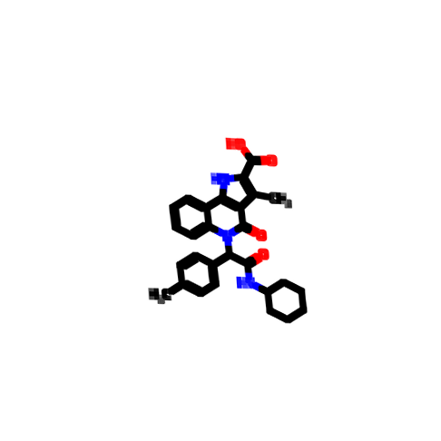 Cc1ccc(C(C(=O)NC2CCCCC2)n2c(=O)c3c(C)c(C(=O)O)[nH]c3c3ccccc32)cc1